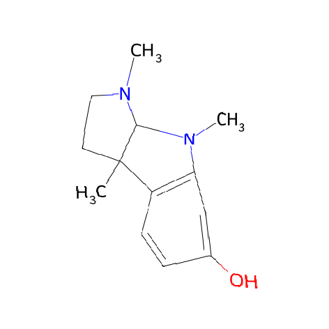 CN1CCC2(C)c3ccc(O)cc3N(C)C12